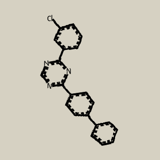 Clc1cccc(-c2ncnc(-c3ccc(-c4ccccc4)cc3)n2)c1